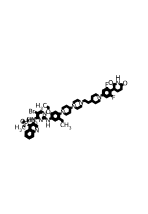 CCOc1cc(N2CCC(N3CCN(CCC4CCN(c5cc(F)c(C6CCC(=O)NC6=O)c(F)c5)CC4)CC3)CC2)c(CC)cc1Nc1ncc(Br)c(Nc2cnc3ccccc3c2P(C)(C)=O)n1